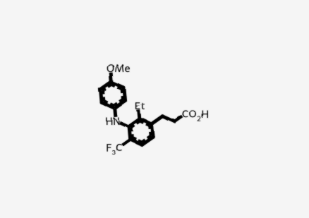 CCc1c(CCC(=O)O)ccc(C(F)(F)F)c1Nc1ccc(OC)cc1